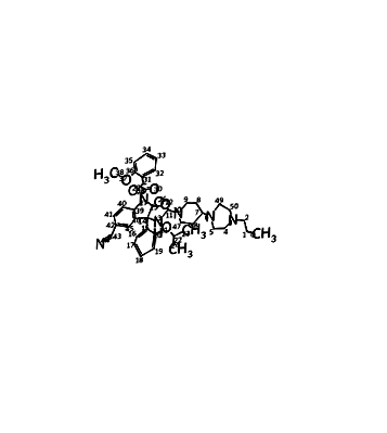 CCCN1CCN(C2CCN(C(=O)NC3(c4ccccc4OC(C)C)C(=O)N(S(=O)(=O)c4ccccc4OC)c4ccc(C#N)cc43)CC2)CC1